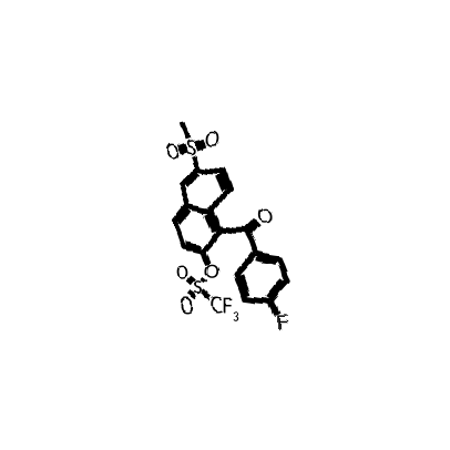 CS(=O)(=O)c1ccc2c(C(=O)c3ccc(F)cc3)c(OS(=O)(=O)C(F)(F)F)ccc2c1